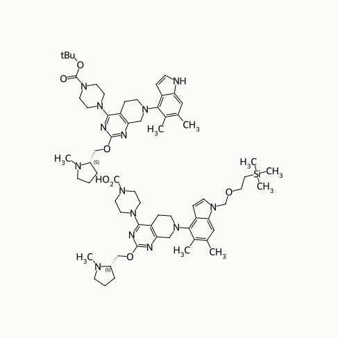 Cc1cc2[nH]ccc2c(N2CCc3c(nc(OC[C@@H]4CCCN4C)nc3N3CCN(C(=O)OC(C)(C)C)CC3)C2)c1C.Cc1cc2c(ccn2COCC[Si](C)(C)C)c(N2CCc3c(nc(OC[C@@H]4CCCN4C)nc3N3CCN(C(=O)O)CC3)C2)c1C